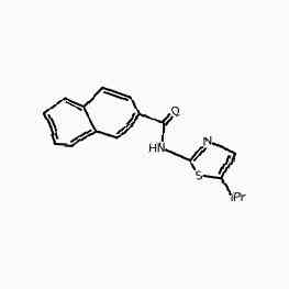 CC(C)c1cnc(NC(=O)c2ccc3ccccc3c2)s1